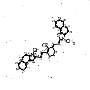 CN1/C(=C/C=C2\CCCC(/C=C/c3sc4c5ccccc5ccc4[n+]3C)=C2Cl)Sc2c1ccc1ccccc21